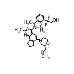 COCC1CN(c2cc3c(NC(C)c4cccc(C(F)(F)CO)c4C)nc(C)nc3c3c2CCC3)CCO1